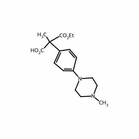 CCOC(=O)C(C)(C(=O)O)c1ccc(N2CCN(C)CC2)cc1